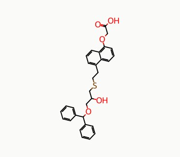 O=C(O)COc1cccc2c(CCSCC(O)COC(c3ccccc3)c3ccccc3)cccc12